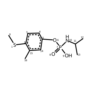 CSc1ccc(OP(=O)(O)NC(C)C)cc1C